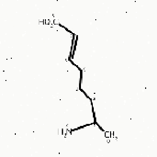 CC(N)CCC/C=C/C(=O)O